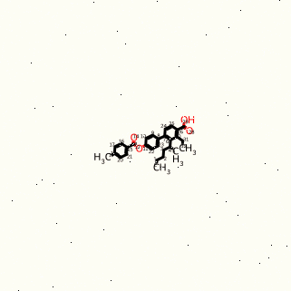 CCCCC(C)c1c(-c2ccc(OC(=O)c3ccc(C)cc3)cc2)ccc(C(=O)O)c1CC